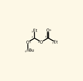 CCCCOC(CC)OC(=O)CC